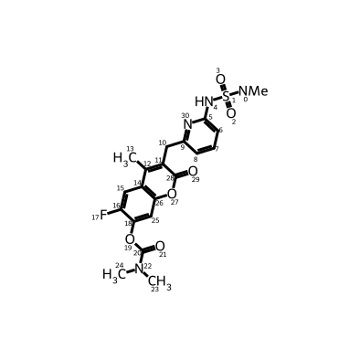 CNS(=O)(=O)Nc1cccc(Cc2c(C)c3cc(F)c(OC(=O)N(C)C)cc3oc2=O)n1